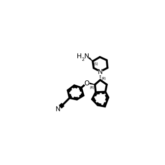 N#Cc1ccc(O[C@@H]2c3ccccc3C[C@H]2N2CCC[C@H](N)C2)cc1